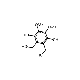 COc1c(O)c(CO)c(CO)c(O)c1OC